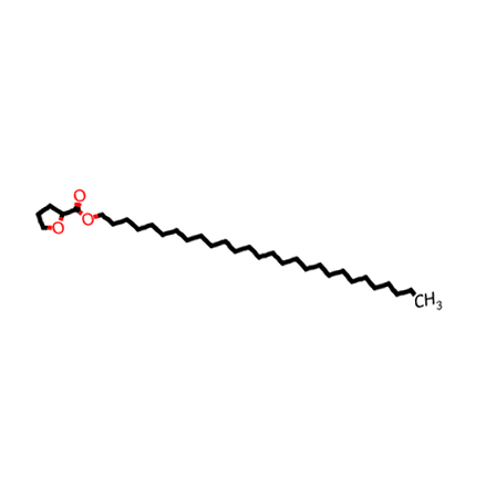 CCCCCCCCCCCCCCCCCCCCCCCCCCCCOC(=O)C1CCCO1